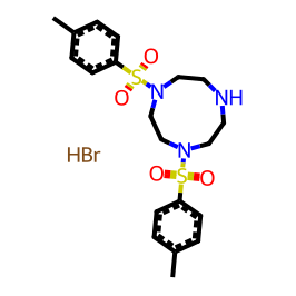 Br.Cc1ccc(S(=O)(=O)N2CCNCCN(S(=O)(=O)c3ccc(C)cc3)CC2)cc1